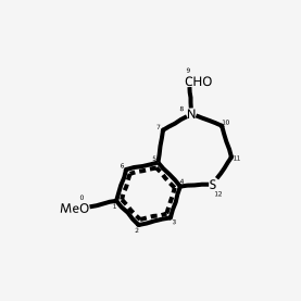 COc1ccc2c(c1)CN(C=O)CCS2